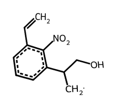 [CH2]C(CO)c1cccc(C=C)c1[N+](=O)[O-]